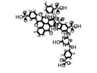 Cc1ccc(Oc2cc(Nc3cc(Nc4nc(O)nc(Nc5ccc(S(=O)(=O)O)cc5)n4)c(S(=O)(=O)O)cc3S(=O)(=O)O)c3c4c(c(C(=O)c5cccc(S(=O)(=O)O)c5)c(=O)[nH]c24)-c2ccccc2C3=O)c(S(=O)(=O)O)c1